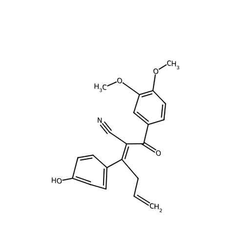 C=CC/C(=C(/C#N)C(=O)c1ccc(OC)c(OC)c1)c1ccc(O)cc1